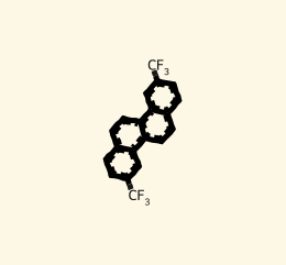 FC(F)(F)c1ccc2ccc3c4cc(C(F)(F)F)ccc4ccc3c2c1